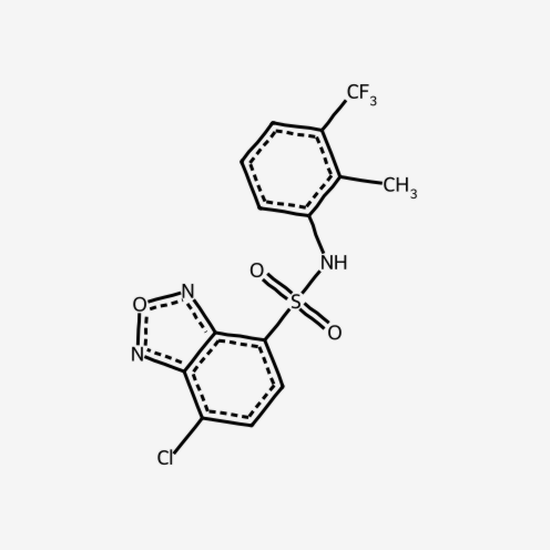 Cc1c(NS(=O)(=O)c2ccc(Cl)c3nonc23)cccc1C(F)(F)F